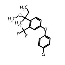 [CH2]C(CC)(OC)c1ccc(Oc2ccc(Cl)cc2)cc1C(F)(F)F